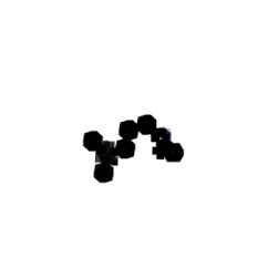 C=C(/C=C\C1=CC(C)(C)c2ccccc21)c1cccc(-c2cccc(-c3cccc(-c4nc(-c5ccccc5)nc(-c5ccccc5)n4)c3)c2)c1